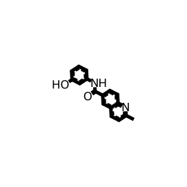 Cc1ccc2cc(C(=O)Nc3cccc(O)c3)ccc2n1